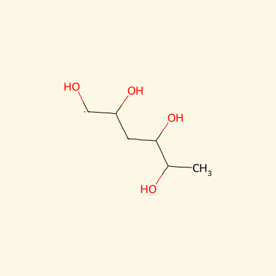 CC(O)C(O)CC(O)[CH]O